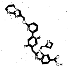 O=C(O)c1ccc2nc(Cc3cc(F)c(-c4cccc(OCc5cn6cccnc6n5)n4)cc3F)n(C[C@@H]3CCO3)c2c1